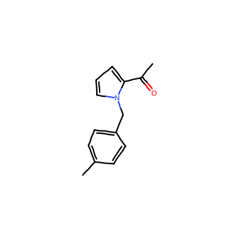 CC(=O)c1cccn1Cc1ccc(C)cc1